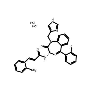 Cl.Cl.Nc1ccccc1C=CC(=O)N[C@H]1N=C(c2ccccc2F)c2ccccc2N(Cc2c[nH]cn2)C1=O